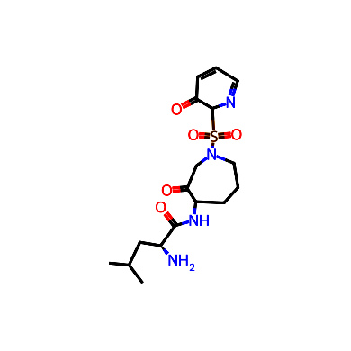 CC(C)C[C@H](N)C(=O)NC1CCCN(S(=O)(=O)C2N=CC=CC2=O)CC1=O